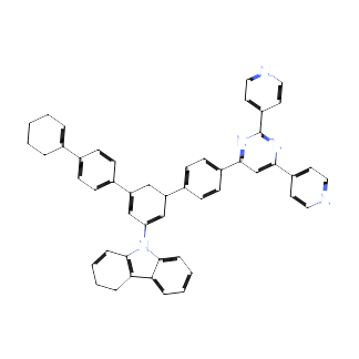 C1=Cc2c(c3ccccc3n2C2=CC(c3ccc(-c4cc(-c5ccncc5)nc(-c5ccncc5)n4)cc3)CC(c3ccc(C4=CCCCC4)cc3)=C2)CC1